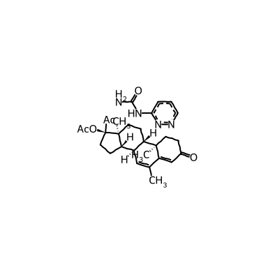 CC(=O)O[C@]1(C(C)=O)CC[C@H]2[C@@H]3C=C(C)C4=CC(=O)CC[C@]4(C)[C@H]3CC[C@@]21C.NC(=O)Nc1cccnn1